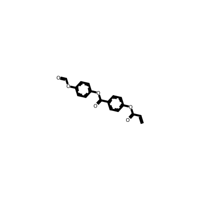 C=CC(=O)Oc1ccc(C(=O)Oc2ccc(OC=O)cc2)cc1